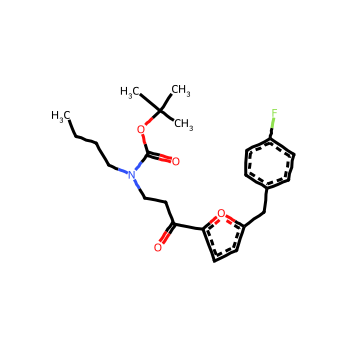 CCCCN(CCC(=O)c1ccc(Cc2ccc(F)cc2)o1)C(=O)OC(C)(C)C